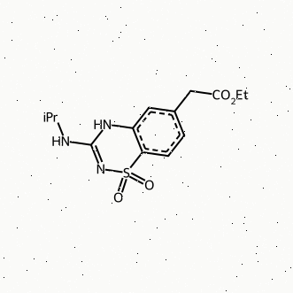 CCOC(=O)Cc1ccc2c(c1)NC(NC(C)C)=NS2(=O)=O